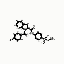 CC(C)(C)NS(=O)(=O)c1ccc(NC(=O)C2Cc3cccnc3N2C(=O)c2ccc(F)cc2)cc1